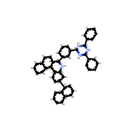 c1ccc(-c2nc(-c3ccccc3)nc(-c3cccc(-c4nc5cc(-c6cccc7ccccc67)ccc5c5c4ccc4ccccc45)c3)n2)cc1